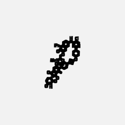 CNC(=O)COc1cc2cc(Nc3nc(N4CCC(OC5CC(N6CCN(c7c(OC)cc8c(c7C)C(=O)N(C7CCC(=O)NC7=O)C8=O)CC6)C5)CC4)ncc3Cl)ccc2n(C(C)C)c1=O